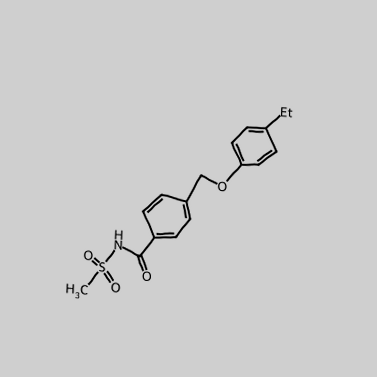 CCc1ccc(OCc2ccc(C(=O)NS(C)(=O)=O)cc2)cc1